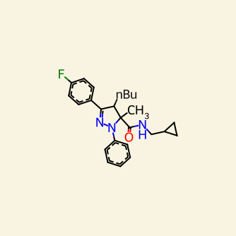 CCCCC1C(c2ccc(F)cc2)=NN(c2ccccc2)C1(C)C(=O)NCC1CC1